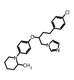 CC1CCCCN1c1ccc(OC(CCc2ccc(Cl)cc2)Cn2ccnc2)cc1